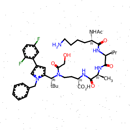 CC(=O)N[C@@H](CCCCN)C(=O)NC(C(=O)N[C@@H](C)C(=O)N[C@@H](CCN(C(=O)CO)[C@@H](c1cc(-c2cc(F)ccc2F)cn1Cc1ccccc1)C(C)(C)C)C(=O)O)C(C)C